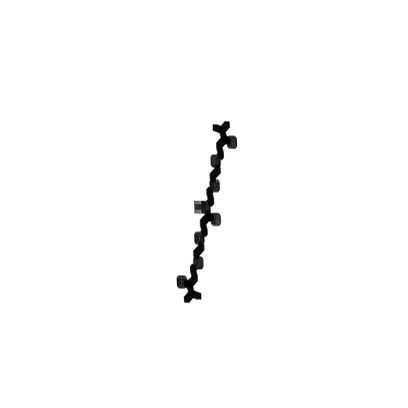 CC(C)C(=O)CCOCCOCCNC(=O)CCOCCOCCC(=O)C(C)C